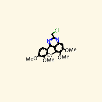 CCc1c(OC)c(OC)cc2nc(CCl)nc(-c3ccc(OC)c(OC)c3)c12